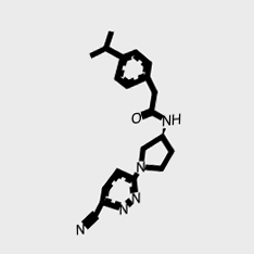 CC(C)c1ccc(CC(=O)N[C@@H]2CCN(c3ccc(C#N)nn3)C2)cc1